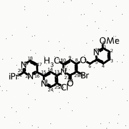 COc1cccc(COc2cc(C)n(-c3cc(-c4ccnc(C(C)C)n4)ncc3Cl)c(=O)c2Br)n1